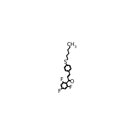 CCCCCCSc1ccc(C=CC(=O)c2c(F)cc(F)cc2F)cc1